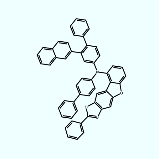 c1ccc(-c2ccc(N(c3ccc(-c4ccccc4)c(-c4ccc5ccccc5c4)c3)c3cccc4oc5cc6nc(-c7ccccc7)oc6cc5c34)cc2)cc1